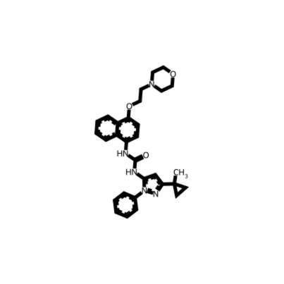 CC1(c2cc(NC(=O)Nc3ccc(OCCN4CCOCC4)c4ccccc34)n(-c3ccccc3)n2)CC1